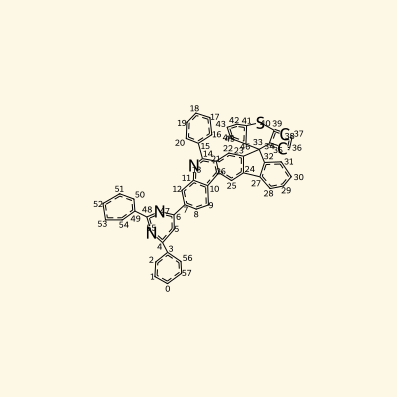 c1ccc(-c2cc(-c3ccc4c(c3)nc(-c3ccccc3)c3cc5c(cc34)-c3ccccc3C53c4ccccc4Sc4ccccc43)nc(-c3ccccc3)n2)cc1